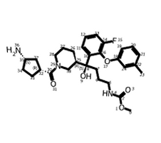 COC(=O)NCCC[C@@](O)(c1cccc(F)c1Oc1cccc(C)c1)[C@@H]1CCCN(C(=O)[C@@H]2CC[C@H](N)C2)C1